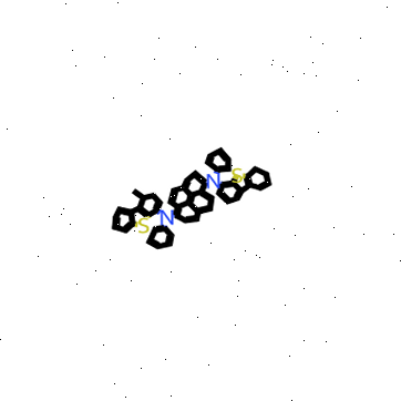 CC1CC=C(N(c2ccccc2)c2ccc3ccc4c(N(c5ccccc5)c5cccc6c7c(sc56)CCC=C7)ccc5ccc2c3c54)c2sc3ccccc3c21